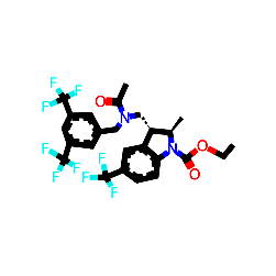 CCOC(=O)N1c2ccc(C(F)(F)F)cc2[C@H](CN(Cc2cc(C(F)(F)F)cc(C(F)(F)F)c2)C(C)=O)[C@H]1C